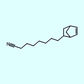 N#CCCCCCCCC1CC2C=CC1C2